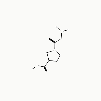 CNC(=O)C1CCN(C(=O)CN(C)C)C1